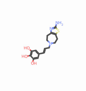 Nc1nc2c(s1)CCN(C/C=C/c1cc(O)c(O)c(O)c1)CC2